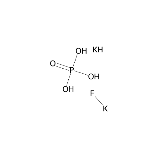 O=P(O)(O)O.[F][K].[KH]